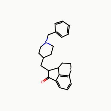 O=C1c2cccc3c2C(CCC3)C1CC1CCN(Cc2ccccc2)CC1